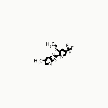 CCSc1cc(C(F)(F)F)cnc1-c1nc2cc(C)cnc2s1